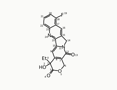 CCC1(O)C(=O)OCc2c1cc1n(c2=O)Cc2cc3c(F)cccc3nc2-1